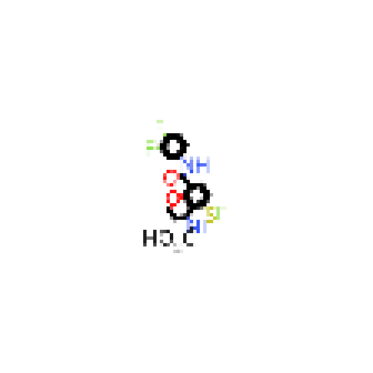 O=C(O)NC1CCOc2c(C(=O)Nc3ccc(F)c(F)c3)ccc(SF)c21